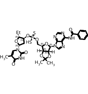 CC[C@H]1O[C@@H](n2cc(C)c(=O)[nH]c2=O)C[C@@H]1OP(=S)(S)OC[C@H]1O[C@@H](n2cnc3c(NC(=O)c4ccccc4)ncnc32)[C@@H]2OC(C)(C)O[C@@H]21